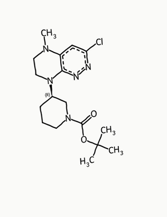 CN1CCN([C@@H]2CCCN(C(=O)OC(C)(C)C)C2)c2nnc(Cl)cc21